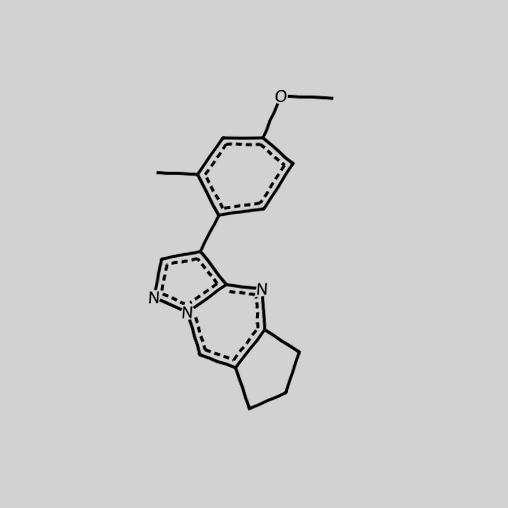 COc1ccc(-c2cnn3cc4c(nc23)CCC4)c(C)c1